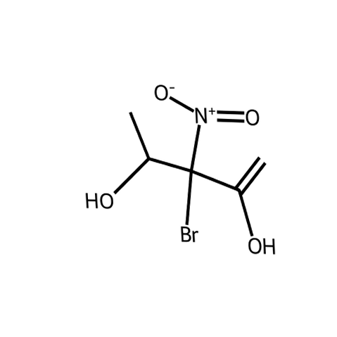 C=C(O)C(Br)(C(C)O)[N+](=O)[O-]